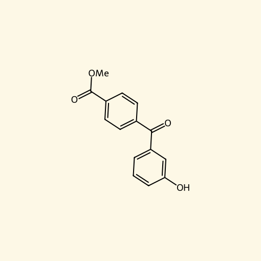 COC(=O)c1ccc(C(=O)c2cccc(O)c2)cc1